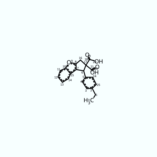 CCc1ccc(C2c3c(oc4ccccc34)CC2(C(=O)O)C(=O)O)cc1